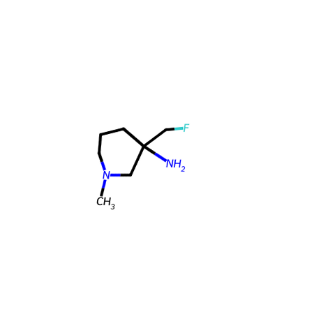 CN1CCCC(N)(CF)C1